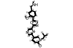 CNCc1ccc(-c2nnc(-c3cncc(-c4ccc(=O)n(CC(C)C)c4)n3)o2)c(OC)c1